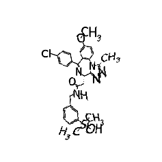 COc1ccc2c(c1)C(c1ccc(Cl)cc1)=N[C@@H](CC(=O)NCc1cccc([Si](C)(C)O)c1)c1nnc(C)n1-2